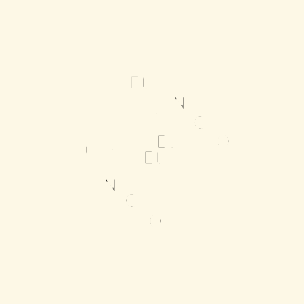 CCC(CC)(CC(CC)(CC)N=C=O)N=C=O